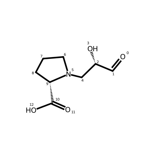 O=C[C@@H](O)CN1CCC[C@H]1C(=O)O